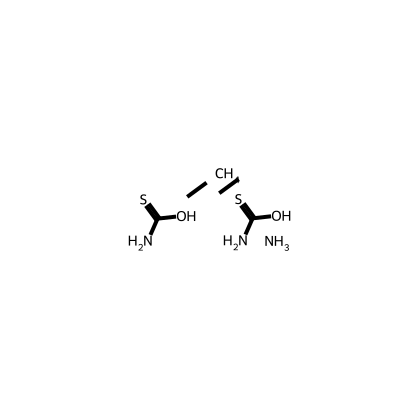 C.CC.CC.N.NC(O)=S.NC(O)=S